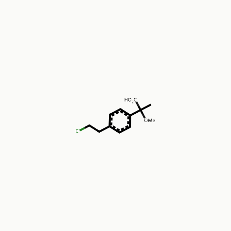 COC(C)(C(=O)O)c1ccc(CCCl)cc1